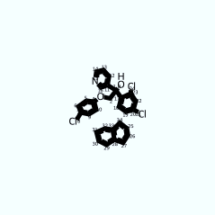 OC(COc1ccc(Cl)cc1)(c1cccnc1)c1ccc(Cl)cc1Cl.c1ccc2ccccc2c1